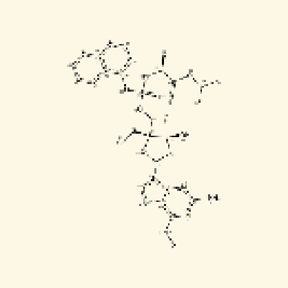 CNc1nc(N)nc2c1ncn2[C@H]1C[C@@](O)(F)[C@@](CCl)(COP(=S)(N[C@@H](C)C(=O)OC(C)C)Oc2cccc3ccccc23)O1